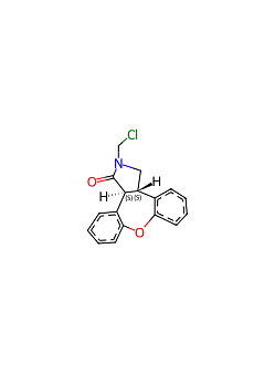 O=C1[C@@H]2c3ccccc3Oc3ccccc3[C@H]2CN1CCl